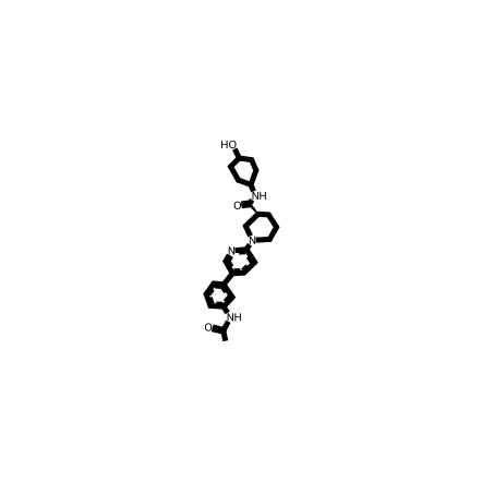 CC(=O)Nc1cccc(-c2ccc(N3CCC[C@H](C(=O)NC4CCC(O)CC4)C3)nc2)c1